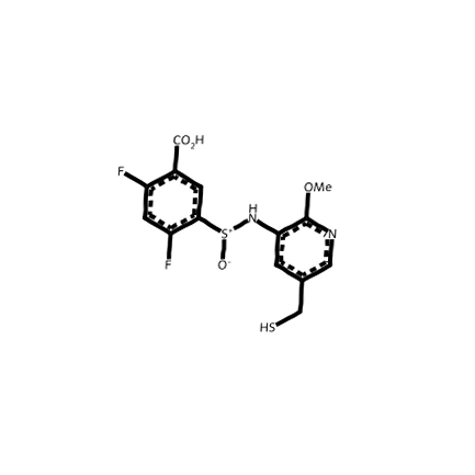 COc1ncc(CS)cc1N[S+]([O-])c1cc(C(=O)O)c(F)cc1F